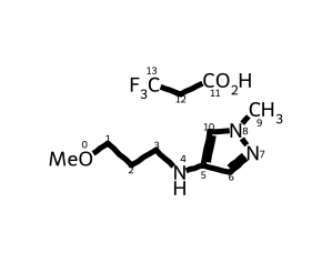 COCCCNc1cnn(C)c1.O=C(O)CC(F)(F)F